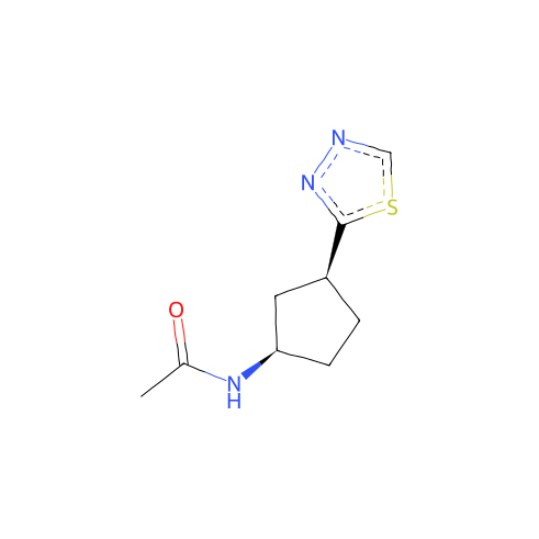 CC(=O)N[C@@H]1CC[C@H](c2nncs2)C1